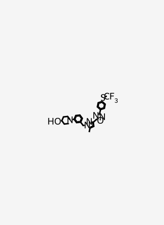 Cc1cc(-c2nc(-c3ccc(SC(F)(F)F)cc3)no2)nn1Cc1cccc(N2CCC(O)CC2)c1